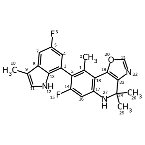 Cc1c(-c2cc(F)cc3c(C)c[nH]c23)c(F)cc2c1-c1ocnc1C(C)(C)N2